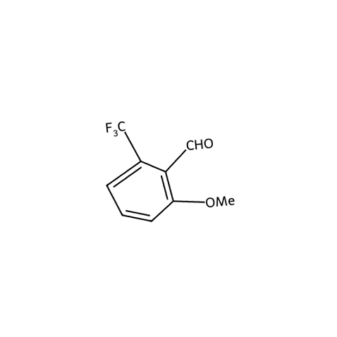 COc1cccc(C(F)(F)F)c1C=O